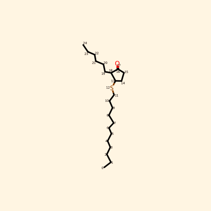 CCCCCCCCCCCCSC1CCC(=O)C1CCCCCC